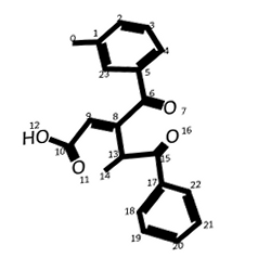 Cc1cccc(C(=O)C(=CC(=O)O)C(C)C(=O)c2ccccc2)c1